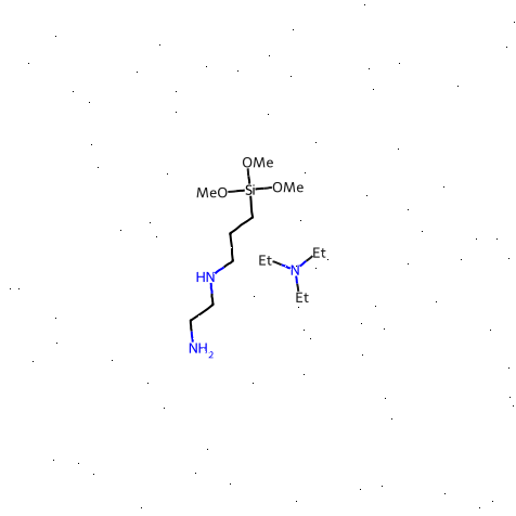 CCN(CC)CC.CO[Si](CCCNCCN)(OC)OC